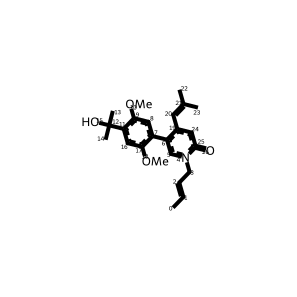 C/C=C/Cn1cc(-c2cc(OC)c(C(C)(C)O)cc2OC)c(C=C(C)C)cc1=O